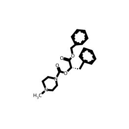 CN1CCN(C(=O)O[C@@H](Cc2ccccc2)C(=O)OCc2ccccc2)CC1